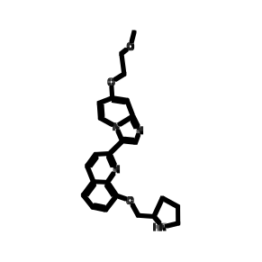 COCCOc1ccn2c(-c3ccc4cccc(OCC5CCCN5)c4n3)cnc2c1